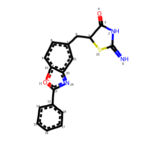 N=C1NC(=O)C(Cc2ccc3oc(-c4ccccc4)nc3c2)S1